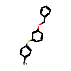 CCCc1ccc(Sc2cccc(OCc3ccccc3)c2)cc1